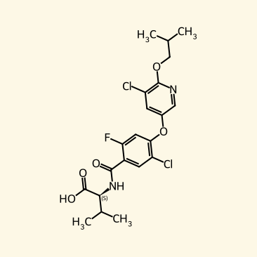 CC(C)COc1ncc(Oc2cc(F)c(C(=O)N[C@H](C(=O)O)C(C)C)cc2Cl)cc1Cl